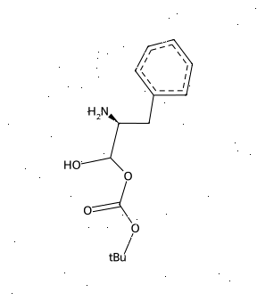 CC(C)(C)OC(=O)OC(O)[C@@H](N)Cc1ccccc1